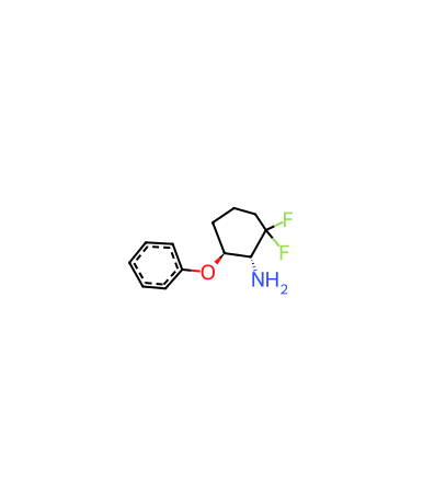 N[C@@H]1[C@@H](Oc2ccccc2)CCCC1(F)F